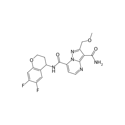 COCc1nn2c(C(=O)NC3CCOc4cc(F)c(F)cc43)ccnc2c1C(N)=O